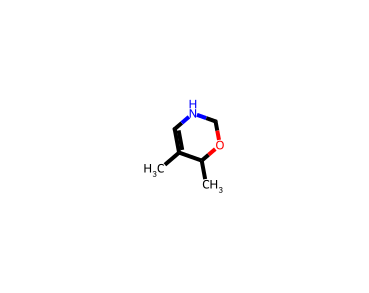 CC1=CNCOC1C